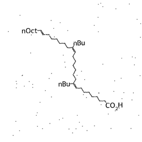 CCCCCCCC/C=C/CCCCCC/C(=C\CCCCCC/C(=C\CCCCCCCC(=O)O)CCCC)CCCC